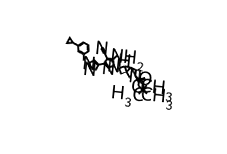 CC(C)(C)OC(=O)N1CC2[C@@H]3[C@H](n4nc(-c5cnn(Cc6cccc(C7CC7)c6)c5)c(C#N)c4N)C[C@]23C1